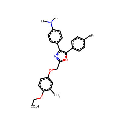 CCCc1ccc(-c2oc(COc3ccc(OCC(=O)O)c(C)c3)nc2-c2ccc(N(CC)CC)cc2)cc1